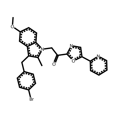 COc1ccc2c(c1)c(Cc1ccc(Br)cc1)c(C)n2CC(=O)c1ncc(-c2ccccn2)o1